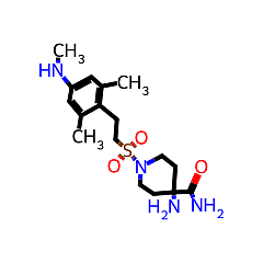 CNc1cc(C)c(CCS(=O)(=O)N2CCC(N)(C(N)=O)CC2)c(C)c1